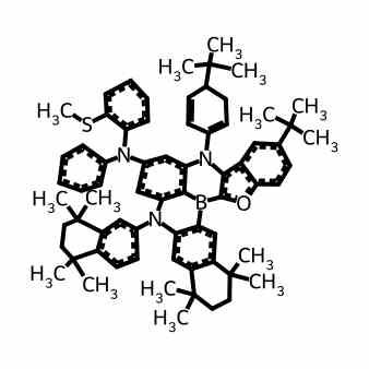 CSc1ccccc1N(c1ccccc1)c1cc2c3c(c1)N(c1ccc4c(c1)C(C)(C)CCC4(C)C)c1cc4c(cc1B3c1oc3ccc(C(C)(C)C)cc3c1N2C1=CCC(C(C)(C)C)C=C1)C(C)(C)CCC4(C)C